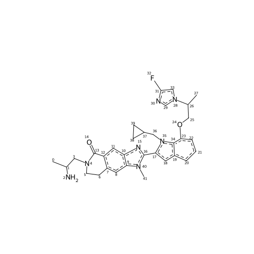 CC(N)CN1CCc2cc3c(cc2C1=O)nc(-c1cc2cccc(OCC(C)n4cnc(F)c4)c2n1CC1CC1)n3C